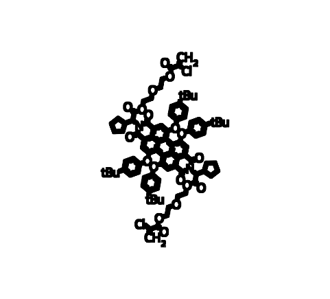 C=C(Cl)C(=O)OCCOCCOC(=O)C(C1CCCC1)N1C(=O)c2cc(Oc3ccc(C(C)(C)C)cc3)c3c4c(Oc5ccc(C(C)(C)C)cc5)cc5c6c(cc(Oc7ccc(C(C)(C)C)cc7)c(c7c(Oc8ccc(C(C)(C)C)cc8)cc(c2c37)C1=O)c64)C(=O)N(C(C(=O)OCCOCCOC(=O)C(=C)Cl)C1CCCC1)C5=O